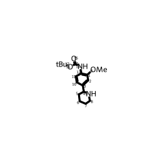 COc1cc(C2CCCCN2)ccc1NC(=O)OC(C)(C)C